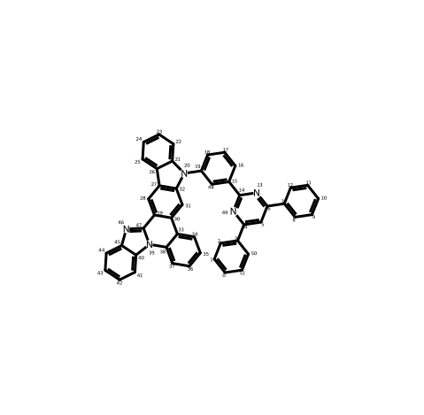 c1ccc(-c2cc(-c3ccccc3)nc(-c3cccc(-n4c5ccccc5c5cc6c(cc54)c4ccccc4n4c5ccccc5nc64)c3)n2)cc1